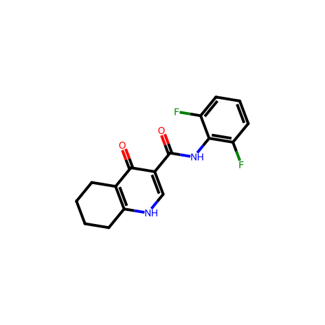 O=C(Nc1c(F)cccc1F)c1c[nH]c2c(c1=O)CCCC2